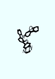 c1ccc2c(c1)oc1cc(-n3c4ccccc4c4ccc5c6cc7nccnc7cc6sc5c43)ccc12